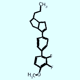 CCCC1CCC2C(c3ccc(-c4ccc(OC)c(F)c4F)cc3)=CCC12